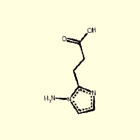 Nn1ccnc1CCC(=O)O